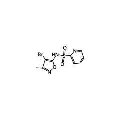 Cc1noc(NS(=O)(=O)c2ccccn2)c1Br